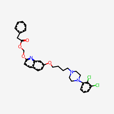 O=C(Cc1ccccc1)OCOc1ccc2ccc(OCCCCN3CCN(c4cccc(Cl)c4Cl)CC3)cc2n1